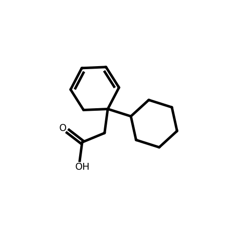 O=C(O)CC1(C2CCCCC2)C=CC=CC1